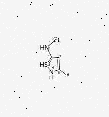 CCNC1=[SH]NC(C)=C1